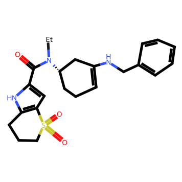 CCN(C(=O)c1cc2c([nH]1)CCCS2(=O)=O)[C@H]1CCC=C(NCc2ccccc2)C1